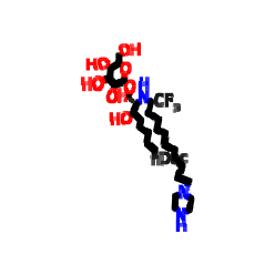 CCCCCCCCCCCCCCC[C@@H](O)[C@H](COC1OC(CO)C(O)C(O)C1O)N[C@@H](CCCCCCCCCCN1CCNCC1)C(F)(F)F